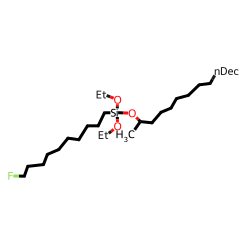 CCCCCCCCCCCCCCCCCC(C)O[Si](CCCCCCCCCCF)(OCC)OCC